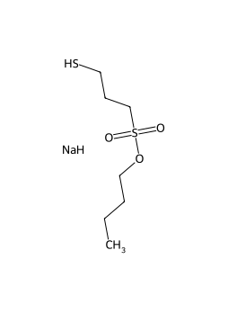 CCCCOS(=O)(=O)CCCS.[NaH]